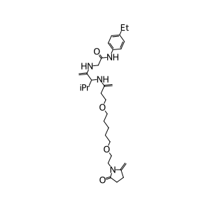 C=C(CCOCCCCCOCCN1C(=C)CCC1=O)NC(C(=C)NCC(=O)Nc1ccc(CC)cc1)C(C)C